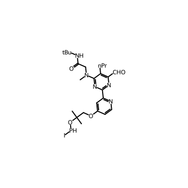 CCCc1c(C=O)nc(-c2cc(OCC(C)(C)OPI)ccn2)nc1N(C)CC(=O)NC(C)(C)C